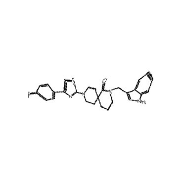 O=C1N(Cc2c[nH]c3ccccc23)CCCC12CCN(c1nc(-c3ccc(F)cc3)cs1)CC2